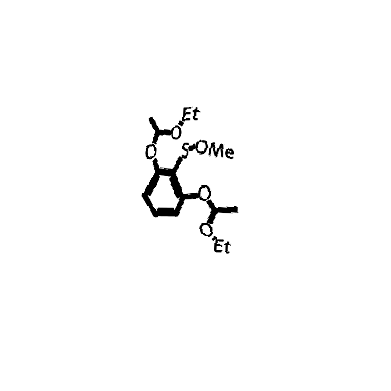 CCOC(C)Oc1cccc(OC(C)OCC)c1SOC